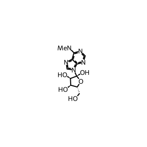 CNc1ncnc2c1ncn2[C@]1(O)O[C@H](CO)[C@@H](O)[C@H]1O